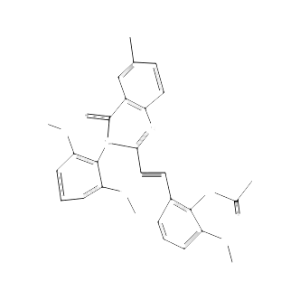 COc1cccc(/C=C/c2nc3ccc(C)cc3c(=O)n2-c2c(OC)cccc2OC)c1OC(C)=O